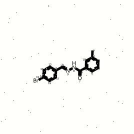 Cc1cccc(C(=O)NN=Cc2ccc(Br)cc2)c1